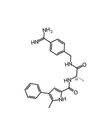 Cc1[nH]c(C(=O)N[C@@H](C)C(=O)NCc2ccc(C(=N)N)cc2)cc1-c1ccccc1